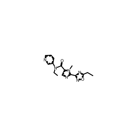 CCc1nc(-c2ncc(C(=O)N(CC)c3cccnc3)n2C)no1